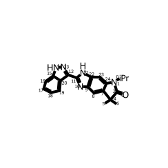 CC(C)N1C(=O)C(C)(C)c2cc3nc(-c4n[nH]c5ccccc45)[nH]c3cc21